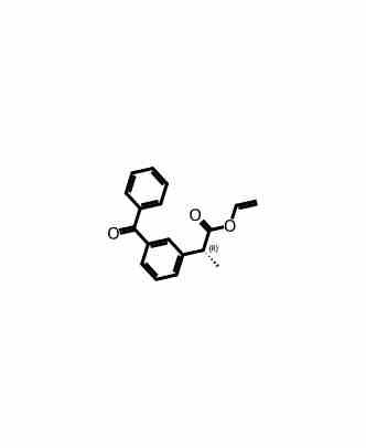 C=COC(=O)[C@H](C)c1cccc(C(=O)c2ccccc2)c1